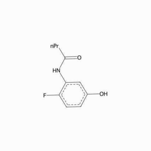 CCCC(=O)Nc1cc(O)ccc1F